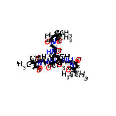 CC(C)C1CC(=O)N(CCNC(=O)[C@@]2(C)C[C@@](C)(C(=O)NCCN3C(=O)CC(C(C)C)C3=O)C[C@@](C)(C(=O)NCCN3C(=O)CC(C(C)(C)C)C3=O)C2)C1=O